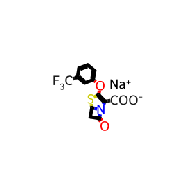 O=C([O-])C1=C(Oc2cccc(C(F)(F)F)c2)SC2CC(=O)N12.[Na+]